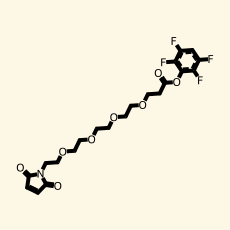 O=C(CCOCCOCCOCCOCCN1C(=O)C=CC1=O)Oc1c(F)c(F)cc(F)c1F